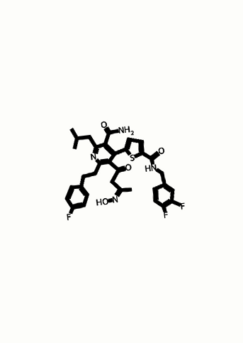 C/C(CC(=O)c1c(CCc2ccc(F)cc2)nc(CC(C)C)c(C(N)=O)c1-c1ccc(C(=O)NCc2ccc(F)c(F)c2)s1)=N/O